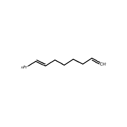 [CH]=CCCCCC=CCCC